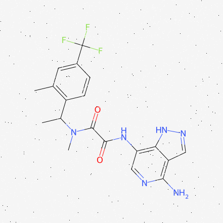 Cc1cc(C(F)(F)F)ccc1C(C)N(C)C(=O)C(=O)Nc1cnc(N)c2cn[nH]c12